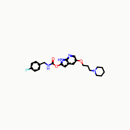 O=C(NCc1ccc(F)cc1)Oc1cc2cc(OCCCN3CCCCC3)cnc2[nH]1